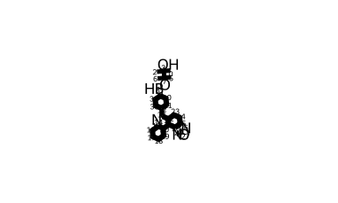 CC(C)(O)C(C)(C)OBc1ccc(-c2nc3ccccc3c3c2ccc2nonc23)cc1